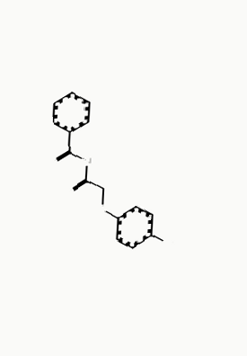 O=C(CSc1ccc(O)cc1)NC(=O)c1ccccc1